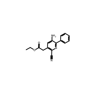 CCOC(=O)Cc1cc(N)c(-c2ccccc2)nc1C#N